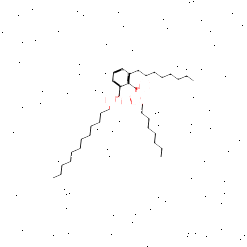 CCCCCCCCCCCCOC(=O)c1cccc(CCCCCCCC)c1C(=O)OCCCCCCCC